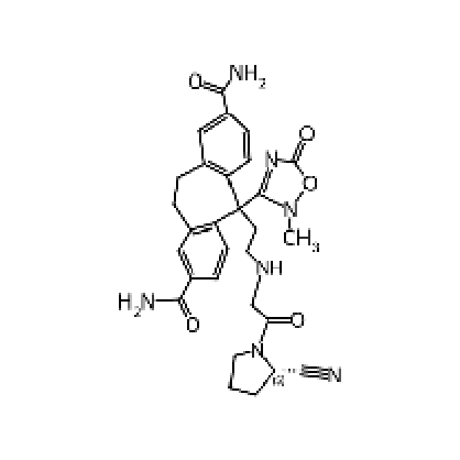 Cn1oc(=O)nc1C1(CCNCC(=O)N2CCC[C@H]2C#N)c2ccc(C(N)=O)cc2CCc2cc(C(N)=O)ccc21